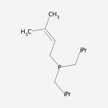 CC(C)=CCP(CC(C)C)CC(C)C